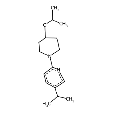 CC(C)OC1CCN(c2ccc(C(C)C)cn2)CC1